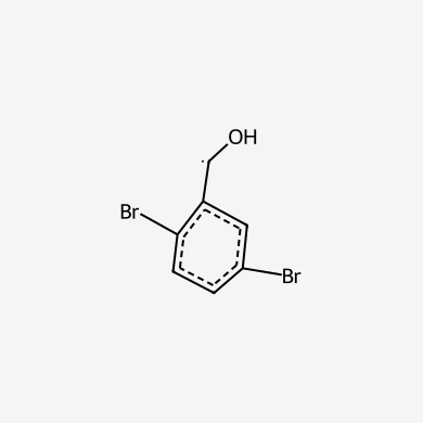 O[CH]c1cc(Br)ccc1Br